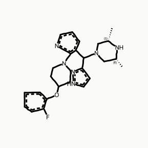 C[C@@H]1CN(C(c2cc[nH]n2)c2cccnc2N2CCC(Oc3ccccc3F)CC2)C[C@H](C)N1